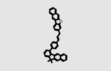 CC1(C)c2cc3ccccc3cc2-c2c(-c3ccc(/C=C/Cc4ccc5c(c4)oc4cc6ccccc6cc45)cc3)cccc21